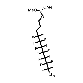 CO[SiH](OC)OCCCC(F)(F)C(F)(F)C(F)(F)C(F)(F)C(F)(F)C(F)(F)C(F)(F)C(F)(F)F